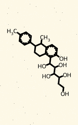 Cc1ccc(C2CCc3c(ccc(O)c3C(O)C(O)C(O)C(O)CCO)C2C)cc1